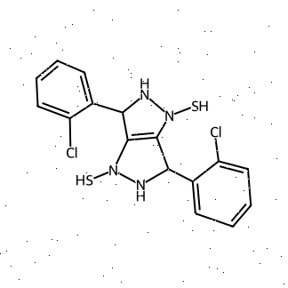 SN1NC(c2ccccc2Cl)C2=C1C(c1ccccc1Cl)NN2S